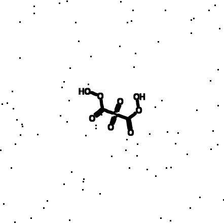 O=C(OO)S(=O)(=O)C(=O)OO